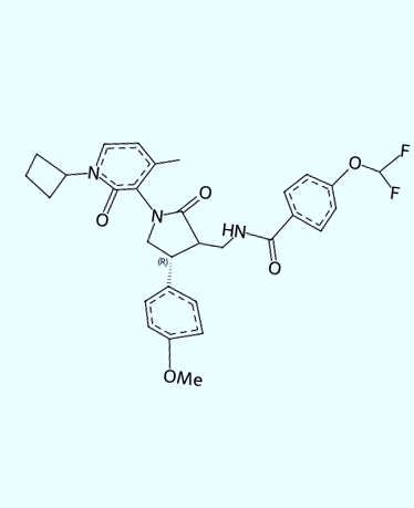 COc1ccc([C@@H]2CN(c3c(C)ccn(C4CCC4)c3=O)C(=O)C2CNC(=O)c2ccc(OC(F)F)cc2)cc1